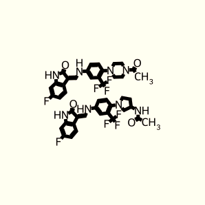 CC(=O)N1CCN(c2ccc(NC=C3C(=O)Nc4cc(F)ccc43)cc2C(F)(F)F)CC1.CC(=O)NC1CCN(c2ccc(NC=C3C(=O)Nc4cc(F)ccc43)cc2C(F)(F)F)C1